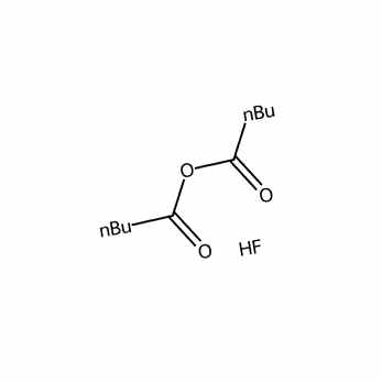 CCCCC(=O)OC(=O)CCCC.F